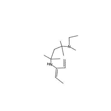 C=C/C(=C\C)NC(C)(C)CC(C)(C)N(C)CC